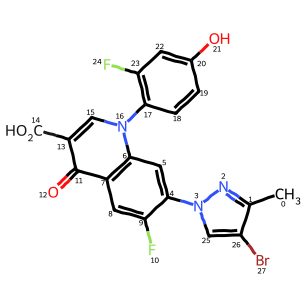 Cc1nn(-c2cc3c(cc2F)c(=O)c(C(=O)O)cn3-c2ccc(O)cc2F)cc1Br